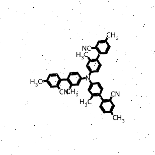 Cc1ccc(-c2ccc(N(c3ccc(-c4ccc(C)cc4C#N)c(C)c3)c3ccc(-c4ccc(C)cc4C#N)c(C)c3)cc2C)c(C#N)c1